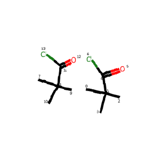 CC(C)(C)C(=O)Cl.CC(C)(C)C(=O)Cl